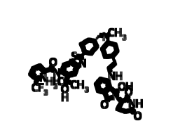 CN(C[C@H]1CC[C@H](c2nc3cc(C(C)(C)O)c(NC(=O)c4cccc(C(F)(F)F)n4)cc3s2)CC1)[C@H]1CC[C@H](CCNc2cccc3c2C(O)N(C2CCC(=O)NC2=O)C3=O)CC1